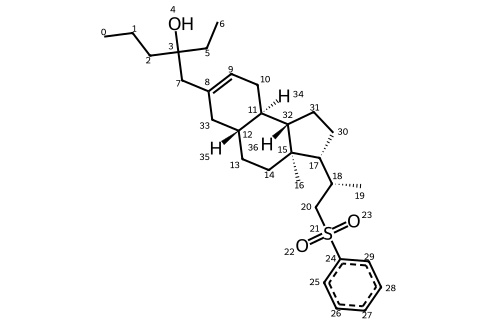 CCCC(O)(CC)CC1=CC[C@@H]2[C@H](CC[C@]3(C)[C@@H]([C@H](C)CS(=O)(=O)c4ccccc4)CC[C@@H]23)C1